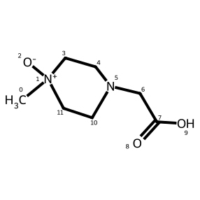 C[N+]1([O-])CCN(CC(=O)O)CC1